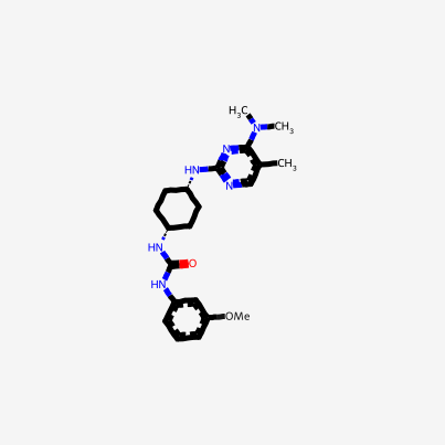 COc1cccc(NC(=O)N[C@H]2CC[C@@H](Nc3ncc(C)c(N(C)C)n3)CC2)c1